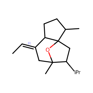 C/C=C1\CC2(C)OC3(CC2C(C)C)C(C)CCC13